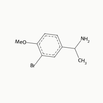 COc1ccc(C(C)N)cc1Br